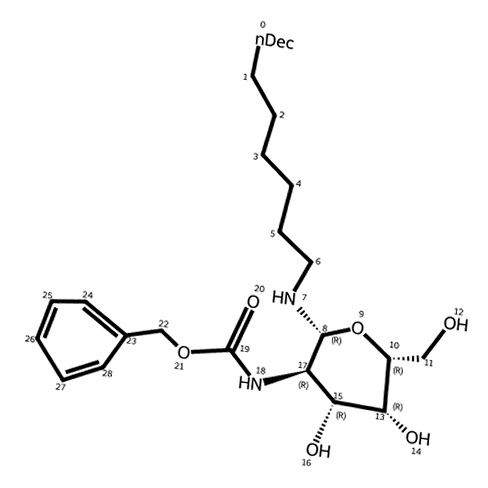 CCCCCCCCCCCCCCCCN[C@@H]1O[C@H](CO)[C@H](O)[C@H](O)[C@H]1NC(=O)OCc1ccccc1